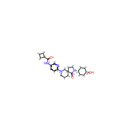 O=C(Nc1ccc(N2CCC[C@]3(CCN([C@H]4CC[C@H](O)CC4)C3=O)C2)nc1)C1CCC1